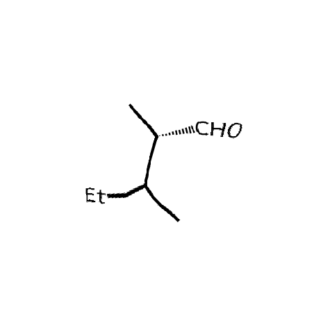 CCC(C)[C@H](C)C=O